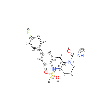 CCNC(=O)N1CCC[C@@H](NS(C)(=O)=O)[C@H]1Cc1cccc(-c2ccc(F)cc2)c1